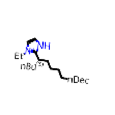 CCCCCCCCCCCCCC[C@H](CCCC)c1[nH]cc[n+]1CC